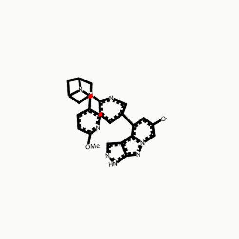 COc1ccc(CN2C3CC2CN(c2ccc(-c4cc([O])cn5nc6[nH]ncc6c45)cn2)C3)cn1